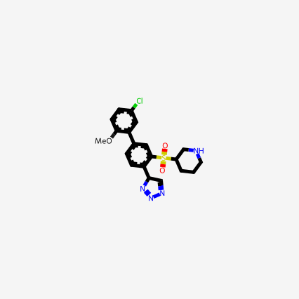 COc1ccc(Cl)cc1-c1ccc(C2C=NN=N2)c(S(=O)(=O)C2CCCNC2)c1